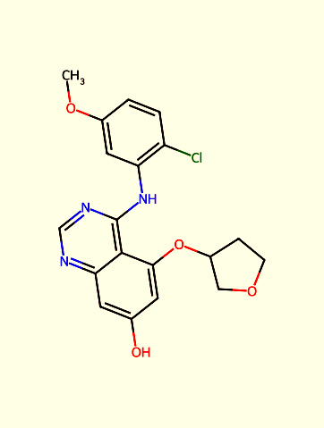 COc1ccc(Cl)c(Nc2ncnc3cc(O)cc(OC4CCOC4)c23)c1